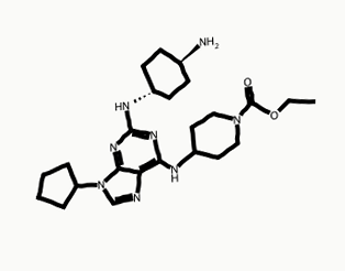 CCOC(=O)N1CCC(Nc2nc(N[C@H]3CC[C@H](N)CC3)nc3c2ncn3C2CCCC2)CC1